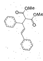 COC(=O)C(C(=O)OC)C(C=Cc1ccccc1)c1ccccc1